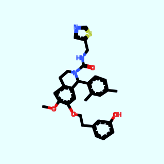 COc1cc2c(cc1OCCc1cccc(O)c1)C(c1ccc(C)cc1C)N(C(=O)NCc1cncs1)CC2